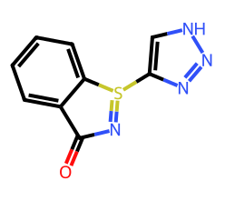 O=C1N=S(c2c[nH]nn2)c2ccccc21